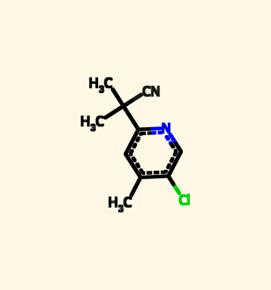 Cc1cc(C(C)(C)C#N)ncc1Cl